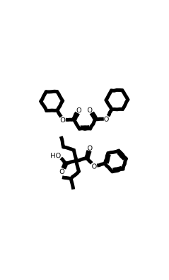 CCCC(CC(C)C)(C(=O)O)C(=O)Oc1ccccc1.O=C(/C=C\C(=O)OC1CCCCC1)OC1CCCCC1